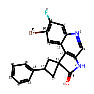 O=C1Nc2cnc3cc(F)c(Br)cc3c2C12CC(c1ccccc1)C2